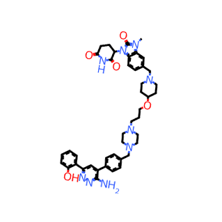 Cn1c(=O)n(C2CCC(=O)NC2=O)c2ccc(CN3CCC(OCCCN4CCN(Cc5ccc(-c6cc(-c7ccccc7O)nnc6N)cc5)CC4)CC3)cc21